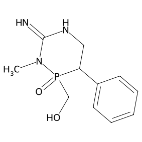 CN1C(=N)NCC(c2ccccc2)P1(=O)CO